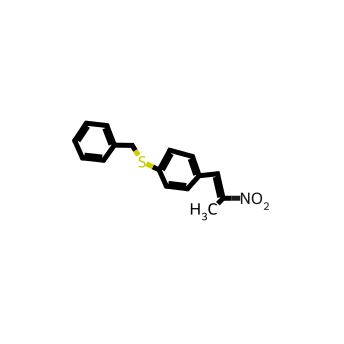 C/C(=C\c1ccc(SCc2ccccc2)cc1)[N+](=O)[O-]